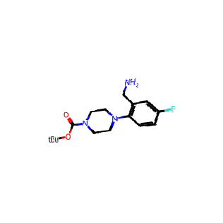 CC(C)(C)OC(=O)N1CCN(c2ccc(F)cc2CN)CC1